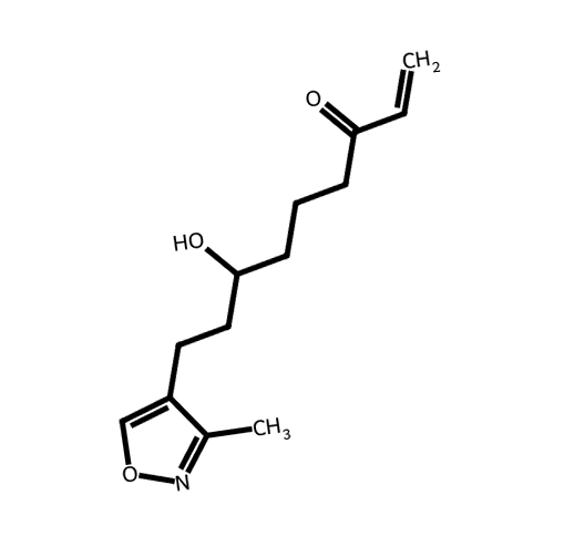 C=CC(=O)CCCC(O)CCc1conc1C